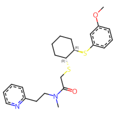 COc1cccc(S[C@@H]2CCCC[C@H]2SCC(=O)N(C)CCc2ccccn2)c1